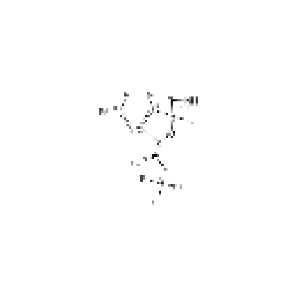 O=C(CC(F)(F)F)C1OC2(CNC2)c2ccc(Br)cc21